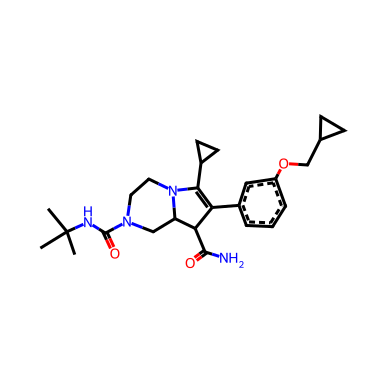 CC(C)(C)NC(=O)N1CCN2C(C3CC3)=C(c3cccc(OCC4CC4)c3)C(C(N)=O)C2C1